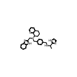 CC(NCc1ccc(CN(Cc2nc3ccccc3[nH]2)C2CCCc3cccnc32)cc1)c1ncc[nH]1